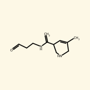 C=C(NCCC=O)C1C=C(C)CNC1